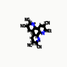 CCc1nc2c(cc1C#N)c1nc(C#N)c(C#N)cc1c1cc(C#N)c(C#N)nc12